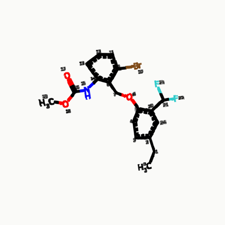 CCc1ccc(OCc2c(Br)cccc2NC(=O)OC)c(C(F)F)c1